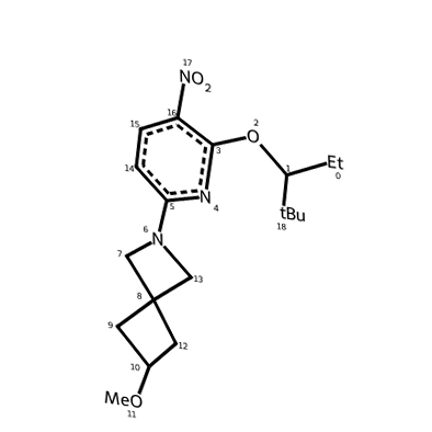 [CH2]CC(Oc1nc(N2CC3(CC(OC)C3)C2)ccc1[N+](=O)[O-])C(C)(C)C